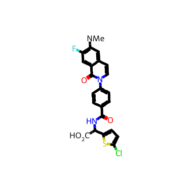 CNc1cc2ccn(-c3ccc(C(=O)NC(C(=O)O)c4ccc(Cl)s4)cc3)c(=O)c2cc1F